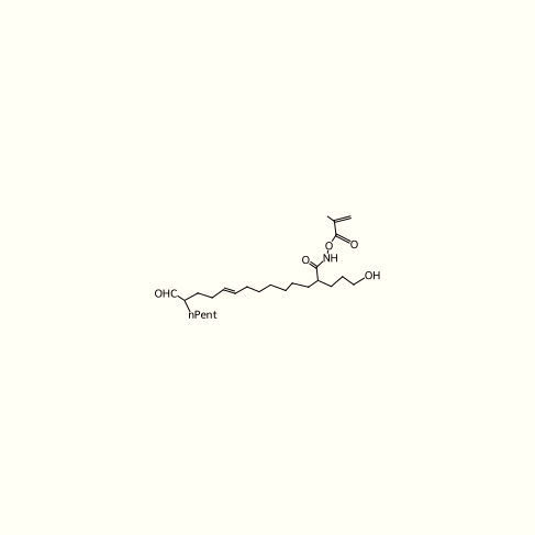 C=C(C)C(=O)ONC(=O)C(CCCO)CCCCCCC=CCCC(C=O)CCCCC